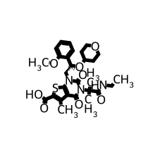 CCNC(=O)C(C)(C)n1c(=O)c2c(C)c(C(=O)O)sc2n(C[C@H](OC2CCOCC2)c2ccccc2OC)c1=O